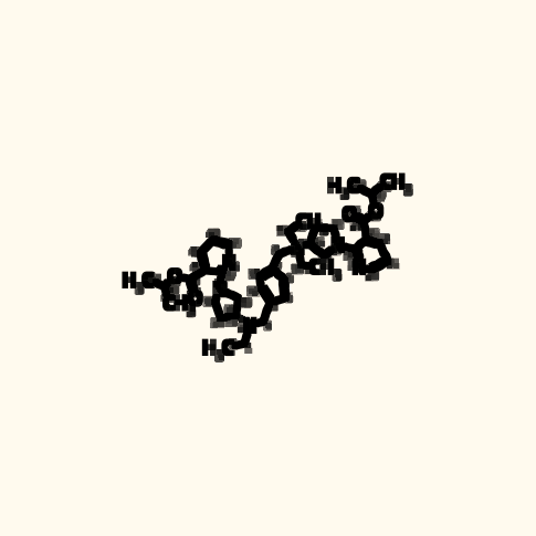 CCN(Cc1ccc(C[N+](CC)(CC)C2CCN(c3ncccc3C(=O)OC(C)C)C2)cc1)[C@@H]1CCN(c2ncccc2C(=O)OC(C)C)C1